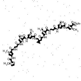 CCCNC(=O)c1nc(NC(=O)c2cc(NC(=O)CCNC(=O)c3nc(NC(=O)CC4(CNC(=O)c5cc(NC(=O)c6nc(NC(=O)CCNC(=O)c7cc(NC(=O)c8nccn8C)cn7C)cn6C)cn5C)CC4)cn3C)cn2C)cn1C